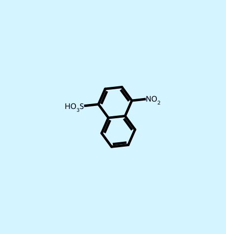 O=[N+]([O-])c1ccc(S(=O)(=O)O)c2ccccc12